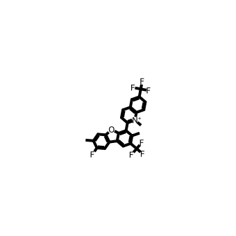 Cc1cc2oc3c(-c4ccc5cc(C(F)(F)F)ccc5[n+]4C)c(C)c(C(F)(F)F)cc3c2cc1F